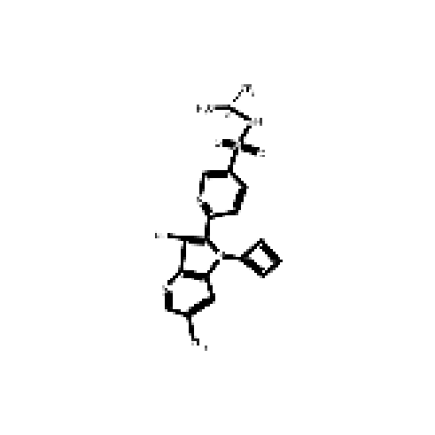 Cc1cnc2c(C#N)c(-c3ccc(S(=O)(=O)N[C@H](C)C(F)(F)F)cn3)n(C3=CC=C3)c2c1